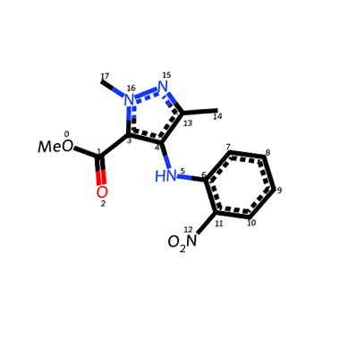 COC(=O)c1c(Nc2ccccc2[N+](=O)[O-])c(C)nn1C